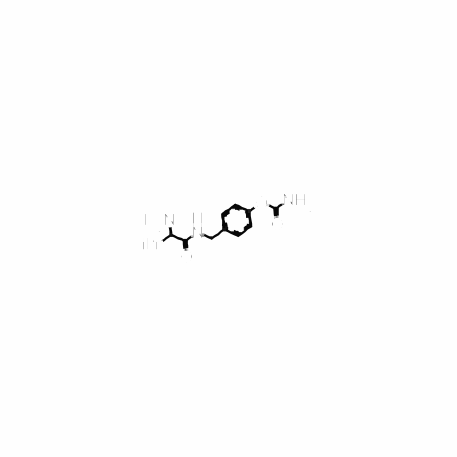 CC(C)C(N)C(=O)NCc1ccc(OC(N)=O)cc1